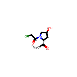 COC(=O)[C@H]1CC(O)CN1C(=O)CCl